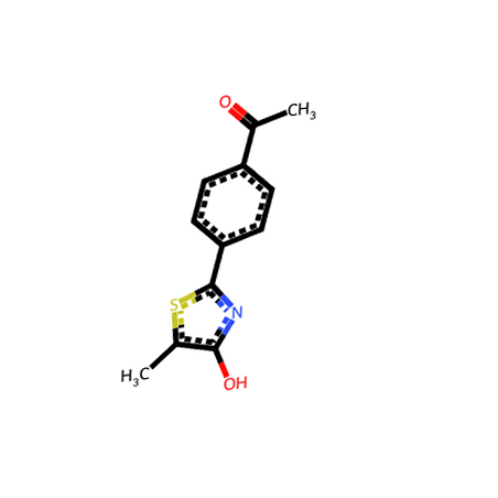 CC(=O)c1ccc(-c2nc(O)c(C)s2)cc1